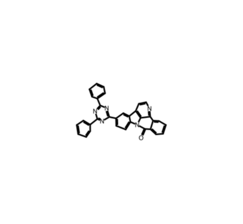 O=c1c2ccccc2c2nccc3c4cc(-c5nc(-c6ccccc6)nc(-c6ccccc6)n5)ccc4n1c32